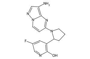 Nc1cnn2ccc(N3CCCC3c3cc(F)cnc3O)nc12